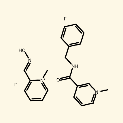 C[n+]1cccc(C(=O)NCc2ccccc2)c1.C[n+]1ccccc1C=NO.[I-].[I-]